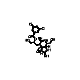 N=C1N[C@H]2[C@H](CO)NC(=N)N(C[C@@H](CO)OC(=O)c3cc(Cl)cc(Cl)c3)[C@@]2(CO)N1